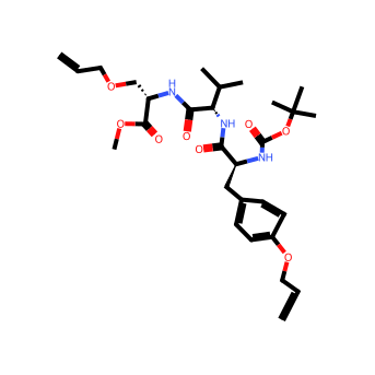 C=CCOC[C@H](NC(=O)[C@@H](NC(=O)[C@H](Cc1ccc(OCC=C)cc1)NC(=O)OC(C)(C)C)C(C)C)C(=O)OC